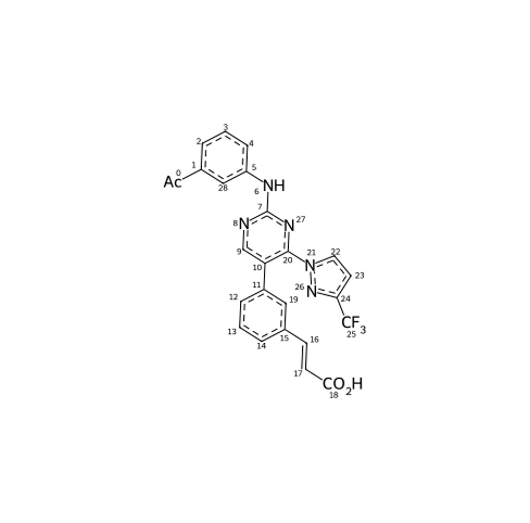 CC(=O)c1cccc(Nc2ncc(-c3cccc(C=CC(=O)O)c3)c(-n3ccc(C(F)(F)F)n3)n2)c1